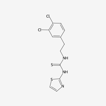 S=C(NCCc1ccc(Cl)c(Cl)c1)Nc1nccs1